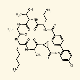 CNC(=O)C1OC1C(=O)[C@H](C)NC(=O)[C@H](CCCCN)NC(=O)[C@H](C)NC(=O)[C@@H](NC(=O)[C@H](CCN)NC(=O)c1ccc(-c2ccc(Cl)cc2)cc1)[C@@H](C)O